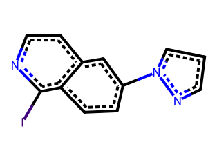 Ic1nccc2cc(-n3cccn3)ccc12